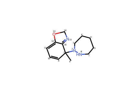 CC1(N2CCCCCN2)C=CC=C2OCN=C21